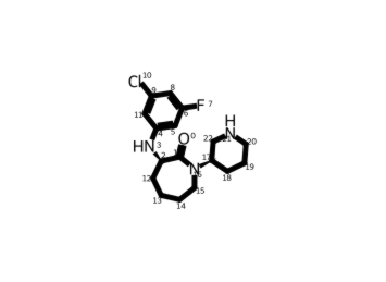 O=C1[C@H](Nc2cc(F)cc(Cl)c2)CCCCN1[C@@H]1CCCNC1